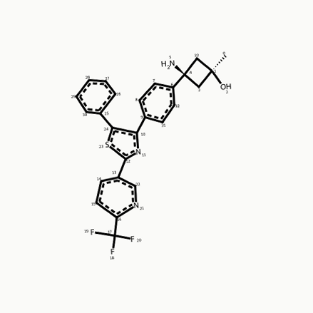 C[C@]1(O)C[C@](N)(c2ccc(-c3nc(-c4ccc(C(F)(F)F)nc4)sc3-c3ccccc3)cc2)C1